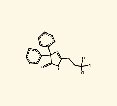 O=C1NC(CCC(Cl)(Cl)Cl)=NC1(c1ccccc1)c1ccccc1